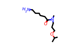 CC(C)OCCCN(C)C(=O)CCCCCN